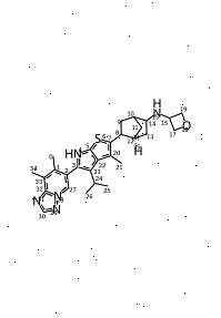 Cc1c(-c2[nH]c3sc(C4CC5C[C@H]4CC5NC4COC4)c(C)c3c2C(C)C)cn2ncnc2c1C